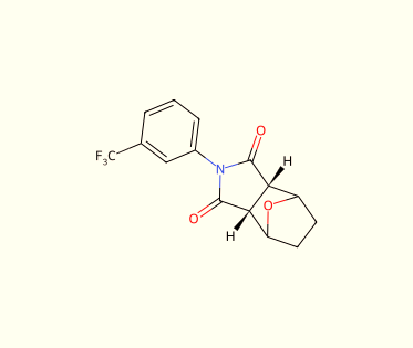 O=C1[C@@H]2C3CCC(O3)[C@@H]2C(=O)N1c1cccc(C(F)(F)F)c1